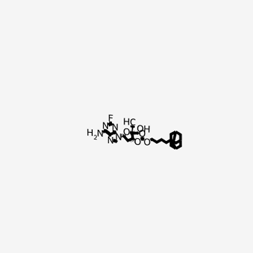 C#C[C@]1(CO)O[C@@H](n2cnc3c(N)nc(F)nc32)C[C@@H]1OC(=O)OCCCCC12CC3CC(CC(C3)C1)C2